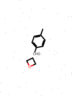 C1COC1.Cc1ccc(C=O)cc1